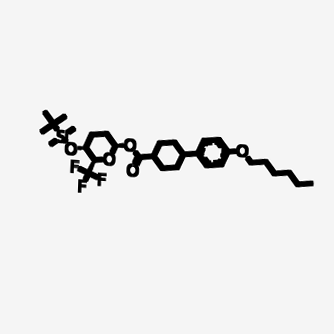 CCCCCCOc1ccc(C2CCC(C(=O)O[C@@H]3CC[C@@H](O[Si](C)(C)C(C)(C)C)[C@H](C(F)(F)F)O3)CC2)cc1